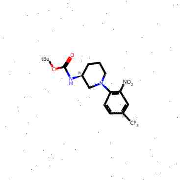 CC(C)(C)OC(=O)N[C@H]1CCCN(c2ccc(C(F)(F)F)cc2[N+](=O)[O-])C1